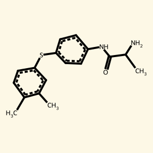 Cc1ccc(Sc2ccc(NC(=O)C(C)N)cc2)cc1C